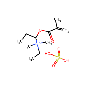 C=C(C)C(=O)OC(CC)[N+](C)(C)CC.O=S(=O)(O)O